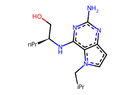 CCC[C@@H](CO)Nc1nc(N)nc2ccn(CC(C)C)c12